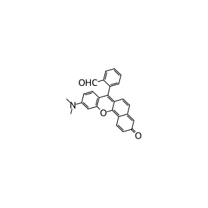 CN(C)c1ccc2c(-c3ccccc3C=O)c3ccc4cc(=O)ccc4c3oc2c1